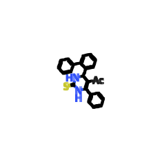 CC(=O)C1=C(c2ccccc2)NC(=S)NC1c1ccccc1-c1ccccc1